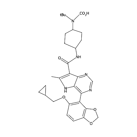 Cc1[nH]c2c(-c3c(OCC4CC4)ccc4c3OCO4)ncnc2c1C(=O)NC1CCC(N(C(=O)O)C(C)(C)C)CC1